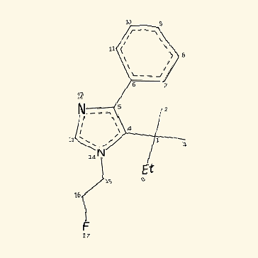 CCC(C)(C)c1c(-c2ccccc2)ncn1CCF